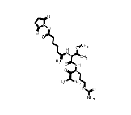 C=C(CCCCC(=O)ON1C(=O)CCC1=O)N[C@H](C(=O)N[C@@H](CCCNC(N)=O)C(=O)C(C)C)C(C)OC